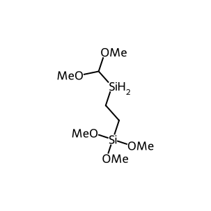 COC(OC)[SiH2]CC[Si](OC)(OC)OC